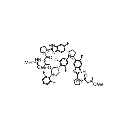 COC(=O)N[C@H](C(=O)N1CCC[C@H]1c1nc2cc([C@@H]3CC[C@@H](c4cc5nc([C@@H]6CCCN6C(=O)[CH][C@@H](C)OC)[nH]c5cc4F)N3c3cc(F)c(N4CCN(c5c(F)cccc5F)CC4)c(F)c3)c(F)cc2[nH]1)[C@@H](C)OC